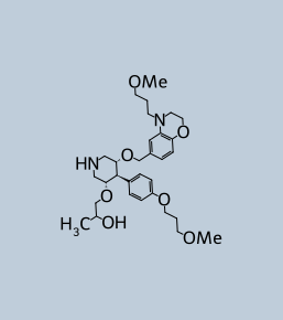 COCCCOc1ccc([C@@H]2[C@@H](OCc3ccc4c(c3)N(CCCOC)CCO4)CNC[C@H]2OCC(C)O)cc1